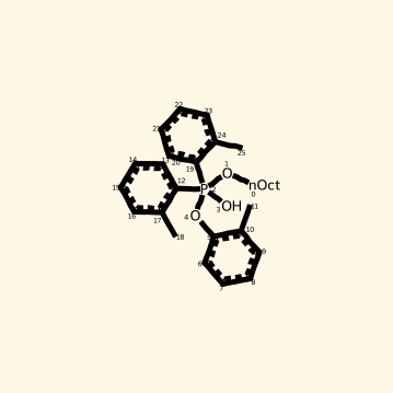 CCCCCCCCOP(O)(Oc1ccccc1C)(c1ccccc1C)c1ccccc1C